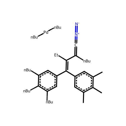 CCCCC(=C=[N+]=[N-])C(CC)=C(c1cc(C)c(C)c(C)c1)c1cc(CCCC)c(CCCC)c(CCCC)c1.CCC[CH2][Pd][CH2]CCC